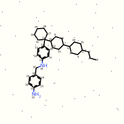 CCCC1CCC(C2CCC(C3(c4ccc(NCc5ccc(N)cc5)cc4)CCCCC3)CC2)CC1